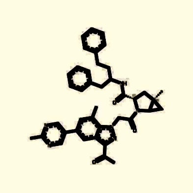 CC(=O)c1nn(CC(=O)N2C3C[C@]3(C)C[C@H]2C(=O)NC(CCc2ccccc2)Cc2ccccc2)c2c(C)cc(-c3cnc(C)nc3)cc12